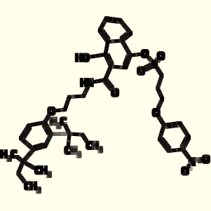 CCC(C)(C)c1ccc(OCCCNC(=O)c2cc(OS(=O)(=O)CCCOc3ccc([N+](=O)[O-])cc3)c3ccccc3c2O)c(C(C)(C)CC)c1